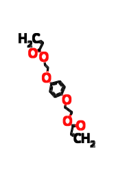 C=CC(=O)OCCOc1ccc(OCCOC(=O)C=C)cc1